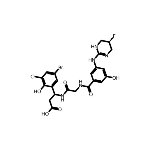 O=C(O)CC(NC(=O)CNC(=O)c1cc(O)cc(NC2=NC[C@H](F)CN2)c1)c1cc(Br)cc(Cl)c1O